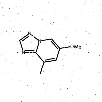 COc1cc(C)c2ncnn2c1